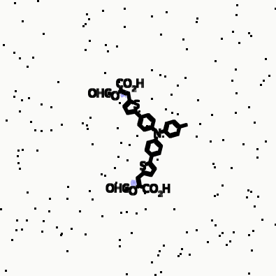 Cc1ccc(N(c2ccc(-c3ccc(/C=C(\OC=O)C(=O)O)s3)cc2)c2ccc(-c3ccc(/C=C(/OC=O)C(=O)O)s3)cc2)cc1